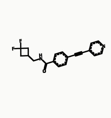 O=C(NCC1CC(F)(F)C1)c1ccc(C#Cc2ccncc2)cc1